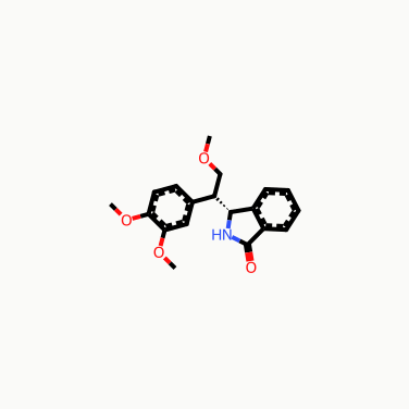 COCC(c1ccc(OC)c(OC)c1)[C@H]1NC(=O)c2ccccc21